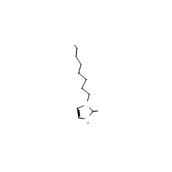 CCCCCCCCCCCCCCCCCN1C=CN(C)C1CCCCCCCCCC